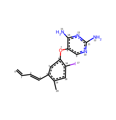 C=CC=Cc1cc(Oc2cnc(N)nc2N)c(I)cc1C